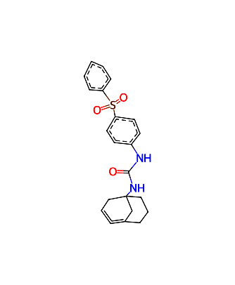 O=C(Nc1ccc(S(=O)(=O)c2ccccc2)cc1)NC12CC=C=C(CCC1)C2